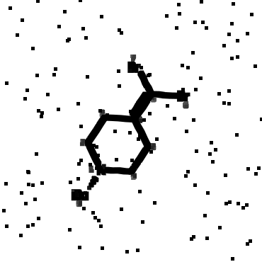 CC[C@@H](C)N1CCC(=C(Br)Br)CC1